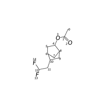 CC(=O)OC1CC2CC1CC2CC(F)F